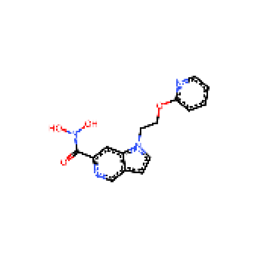 O=C(c1cc2c(ccn2CCOc2ccccn2)cn1)N(O)O